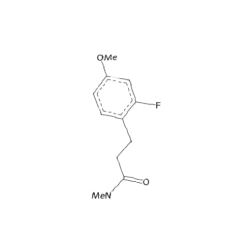 CNC(=O)CCc1ccc(OC)cc1F